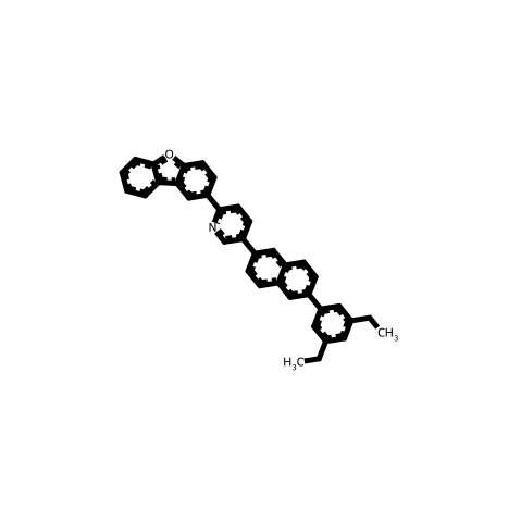 CCc1cc(CC)cc(-c2ccc3cc(-c4ccc(-c5ccc6oc7ccccc7c6c5)nc4)ccc3c2)c1